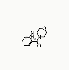 C/C=C(N)\C(=C/C)C(=O)N1CCOCC1